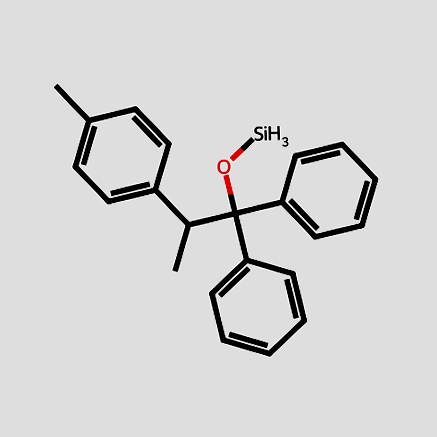 Cc1ccc(C(C)C(O[SiH3])(c2ccccc2)c2ccccc2)cc1